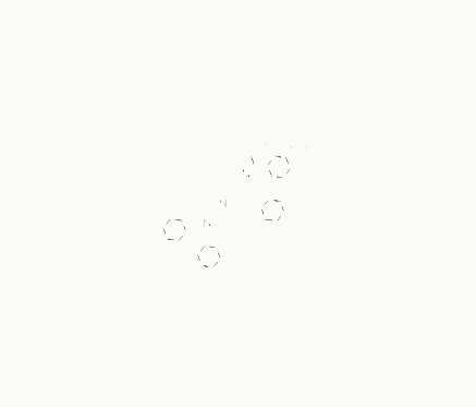 Cc1cccc(C(=O)N2CC[C@H](N3CCN(C(c4ccccc4)c4ccccc4)CC3)C[C@H]2Cc2ccccc2)c1C